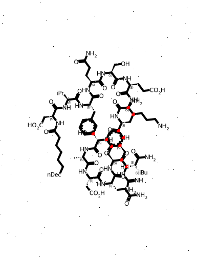 CCCCCCCCCCCCCCCC(=O)N[C@@H](CC(=O)O)C(=O)N[C@H](C(=O)N[C@@H](Cc1ccccc1)C(=O)N[C@@H](CCC(N)=O)C(=O)N[C@@H](CO)C(=O)N[C@@H](CCC(=O)O)C(=O)N[C@@H](CCCCN)C(=O)N[C@@H](CCCN)C(=O)N[C@@H](CCCNC(=N)N)C(=O)N[C@@H](CO)C(=O)N[C@@H](C)C(=O)N[C@@H](CC(=O)O)C(=O)N[C@@H](CCC(N)=O)C(=O)N[C@@H](Cc1ccccc1)C(=O)N[C@H](C(N)=O)[C@@H](C)CC)C(C)C